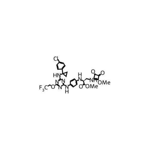 COC(=O)[C@H](CNc1c(OC)c(=O)c1=O)Nc1ccc(Nc2nc(NC3(c4ccc(Cl)cc4)CC3)nc(OCC(F)(F)F)n2)cc1